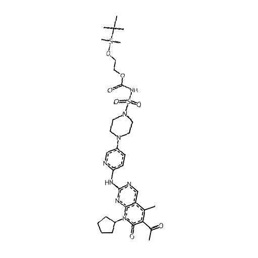 CC(=O)c1c(C)c2cnc(Nc3ccc(N4CCN(S(=O)(=O)NC(=O)OCCO[Si](C)(C)C(C)(C)C)CC4)cn3)nc2n(C2CCCC2)c1=O